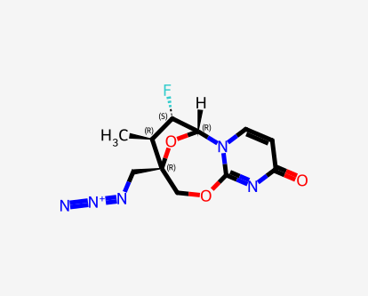 C[C@H]1[C@H](F)[C@H]2O[C@]1(CN=[N+]=[N-])COc1nc(=O)ccn12